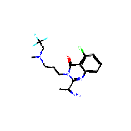 CC(N)c1nc2cccc(Cl)c2c(=O)n1CCCN(C)CC(F)(F)F